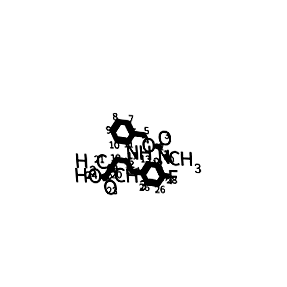 CN(C(=O)OCc1ccccc1)c1cc(CC(N)CC(C)(C)C(=O)O)ccc1F